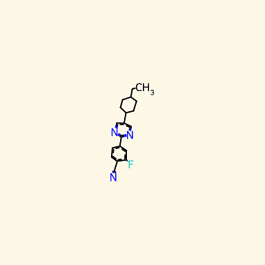 CCC1CCC(c2cnc(-c3ccc(C#N)c(F)c3)nc2)CC1